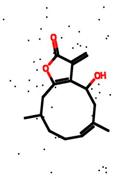 C=C1C(=O)OC2=C1C(O)CC(C)=CCCC(C)C2